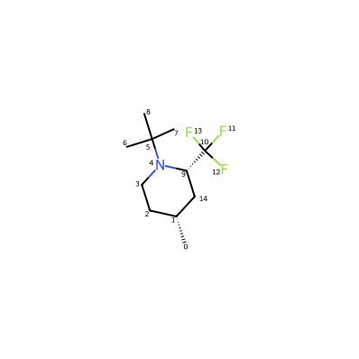 C[C@@H]1CCN(C(C)(C)C)[C@H](C(F)(F)F)C1